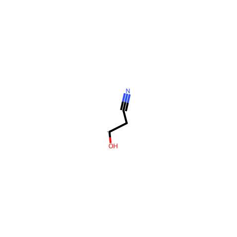 N#CC[CH]O